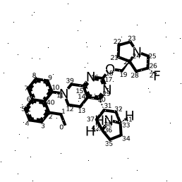 CCc1cccc2cccc(N3CCc4c(nc(OC[C@@]56CCCN5C[C@H](F)C6)nc4[C@@H]4C[C@H]5CC[C@@H](C4)N5)C3)c12